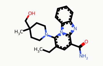 CCc1cc(C(N)=O)c2nc3ccccc3n2c1N1CCC(C)(CO)CC1